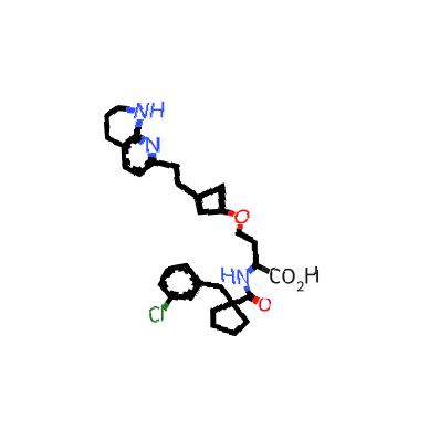 O=C(O)C(CCOC1CC(CCc2ccc3c(n2)NCCC3)C1)NC(=O)C1(Cc2cccc(Cl)c2)CCCC1